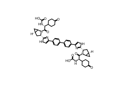 O=C1CCC([C@@H](NC(=O)O)C(=O)N2C3C[C@@H]3C[C@H]2c2nc(-c3ccc(-c4ccc(-c5c[nH]c([C@@H]6C[C@H]7CC7N6C(=O)[C@H](NC(=O)O)C6CCC(=O)CC6)n5)cc4)cc3)c[nH]2)CC1